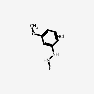 COc1cccc(NNF)c1.Cl